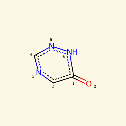 O=c1cn[c]n[nH]1